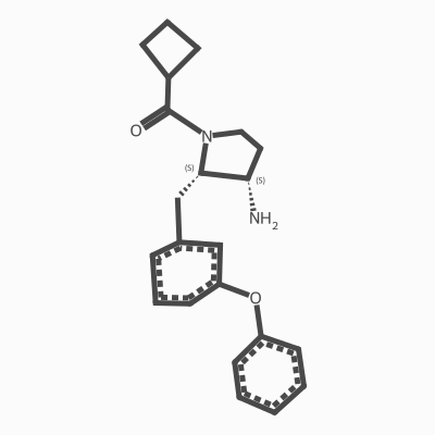 N[C@H]1CCN(C(=O)C2CCC2)[C@H]1Cc1cccc(Oc2ccccc2)c1